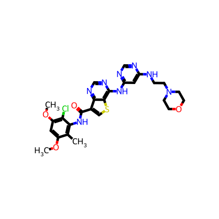 COc1cc(OC)c(Cl)c(NC(=O)c2csc3c(Nc4cc(NCCN5CCOCC5)ncn4)ncnc23)c1C